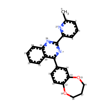 Cc1cccc(-c2nc(-c3ccc4c(c3)OCCCO4)c3ccccc3n2)n1